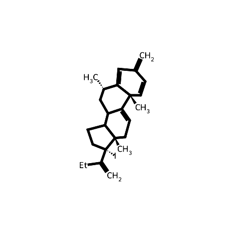 C=C1C=C[C@]2(C)C3=CC[C@@]4(C)C(CC[C@]4(I)C(=C)CC)C3C[C@H](C)C2=C1